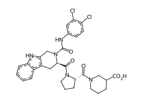 O=C(O)C1CCCN(C(=O)[C@@H]2CCCN2C(=O)[C@H]2Cc3c([nH]c4ccccc34)CN2C(=O)Nc2ccc(Cl)c(Cl)c2)C1